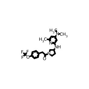 Cc1cc(N(C)C)cc(NC2CCN(C(=O)Cc3ccc(OC(F)(F)F)cc3)C2)n1